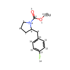 CC(C)(C)OC(=O)N1CCCC1Cc1ccc(F)cc1